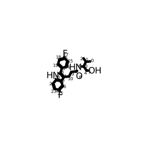 CC(C)C(CO)NC(=O)CCc1c(-c2ccc(F)cc2)[nH]c2ccc(F)cc12